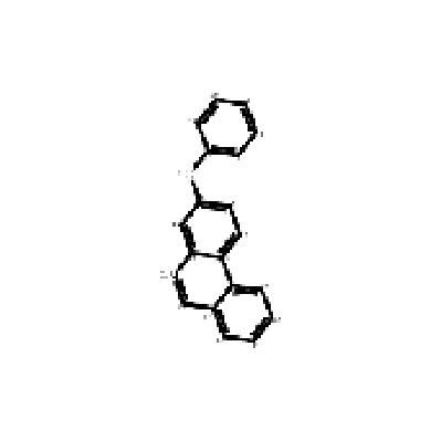 c1ccc(Oc2ccc3c(c2)ncc2ccccc23)cc1